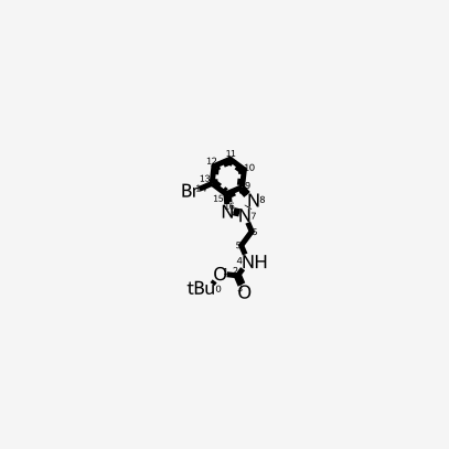 CC(C)(C)OC(=O)NCCn1nc2cccc(Br)c2n1